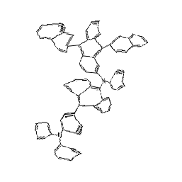 c1ccc(N(c2ccccc2)c2ccc(-c3c4ccccc4c(N(c4ccccc4)c4ccc5c(-c6ccc7ccccc7c6)c6ccccc6c(-c6ccc7ccccc7c6)c5c4)c4ccccc34)cc2)cc1